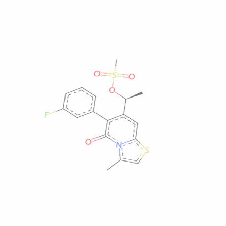 Cc1csc2cc([C@H](C)OS(C)(=O)=O)c(-c3cccc(F)c3)c(=O)n12